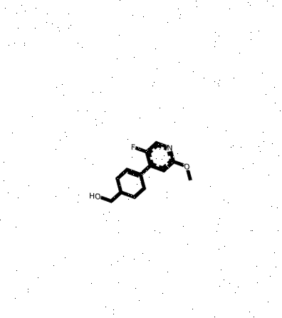 COc1cc(C2=CCC(CO)CC2)c(F)cn1